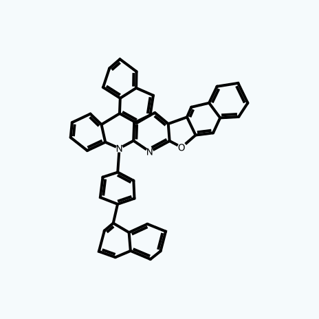 c1ccc(N(c2ccc(-c3cccc4ccccc34)cc2)c2ccc3c(n2)oc2cc4ccccc4cc23)c(-c2cccc3ccccc23)c1